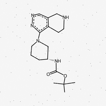 CC(C)(C)OC(=O)N[C@@H]1CCCN(c2nncc3c2CCNC3)C1